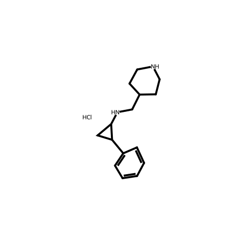 Cl.c1ccc(C2CC2NCC2CCNCC2)cc1